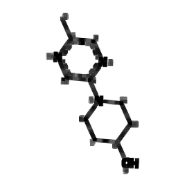 Cc1cnc(N2CCC(O)CC2)cn1